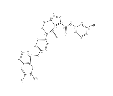 CCC(=O)N(C)Cc1ccccc1Cc1ccc(N2CCn3ncc(C(=O)Nc4cccc(C#N)c4)c3C2=O)cc1